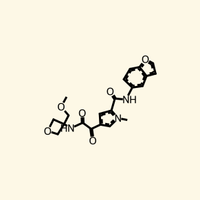 COCC1(NC(=O)C(=O)c2cc(C(=O)Nc3ccc4occc4c3)n(C)c2)COC1